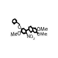 COc1cc2ccc(-c3cc(OCc4ccccc4)c(OC)cc3[N+](=O)[O-])cc2cc1OC